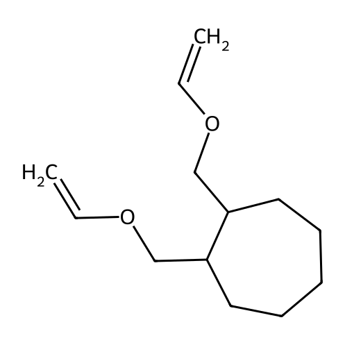 C=COCC1CCCCCC1COC=C